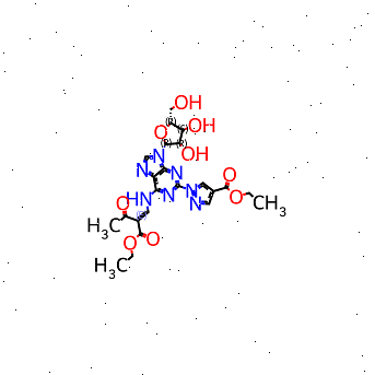 CCOC(=O)/C(=C/Nc1nc(-n2cc(C(=O)OCC)cn2)nc2c1ncn2[C@@H]1O[C@H](CO)[C@@H](O)[C@H]1O)C(C)=O